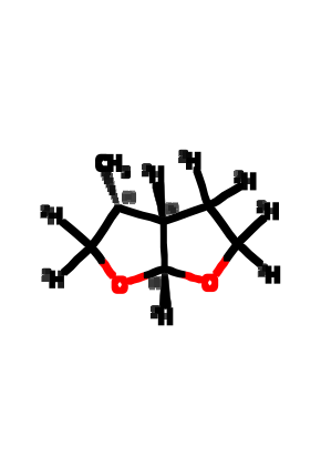 [2H]C1([2H])O[C@@]2([2H])OC([2H])([2H])C([2H])([2H])[C@@]2([2H])[C@H]1C